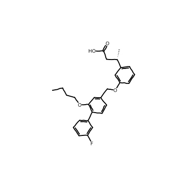 CCCCOc1cc(COc2cccc([C@@H](C)CC(=O)O)c2)ccc1-c1cccc(F)c1